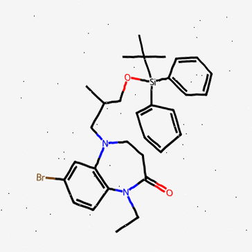 CCN1C(=O)CCN(CC(C)CO[Si](c2ccccc2)(c2ccccc2)C(C)(C)C)c2cc(Br)ccc21